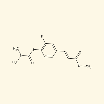 COC(=O)C=Cc1ccc(SC(=O)N(C)C)c(F)c1